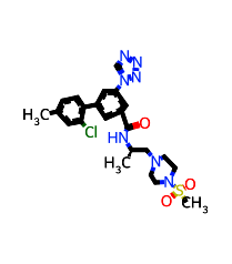 Cc1ccc(-c2cc(C(=O)N[C@H](C)CN3CCN(S(C)(=O)=O)CC3)cc(-n3cnnn3)c2)c(Cl)c1